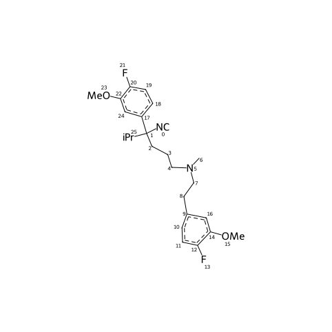 [C-]#[N+]C(CCCN(C)CCc1ccc(F)c(OC)c1)(c1ccc(F)c(OC)c1)C(C)C